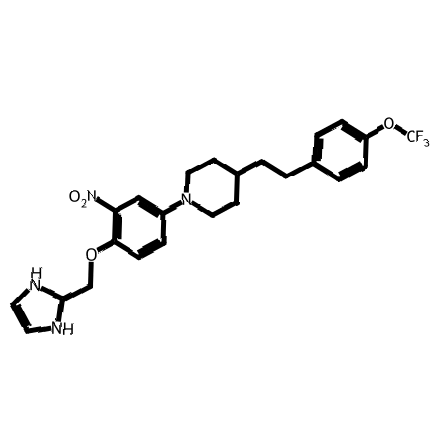 O=[N+]([O-])c1cc(N2CCC(CCc3ccc(OC(F)(F)F)cc3)CC2)ccc1OCC1NC=CN1